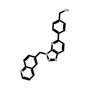 OCc1ccc(-c2ccc3nnn(Cc4ccc5ncccc5c4)c3n2)cc1